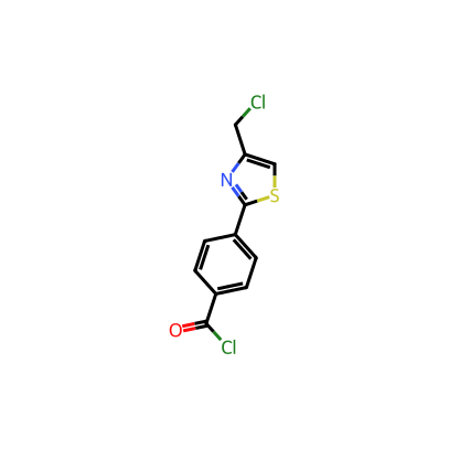 O=C(Cl)c1ccc(-c2nc(CCl)cs2)cc1